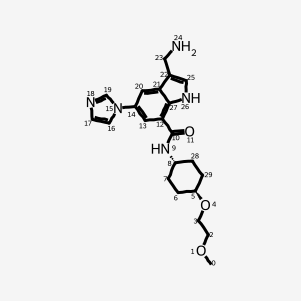 COCCO[C@H]1CC[C@H](NC(=O)c2cc(-n3ccnc3)cc3c(CN)c[nH]c23)CC1